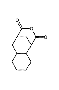 O=C1OC(=O)C2CC1CC1CCCCC12